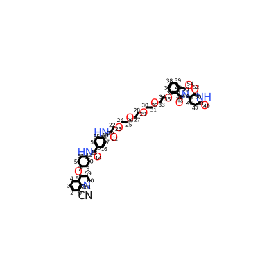 N#Cc1cccc2c(O[C@H]3CC[C@H](NC(=O)c4ccc(NC(=O)COCCOCCOCCOCCOc5cccc6c5C(=O)N(C5CCC(=O)NC5=O)C6=O)cc4)CC3)ccnc12